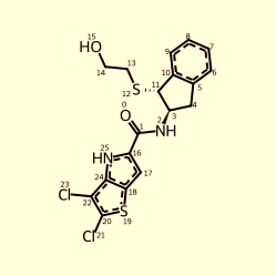 O=C(N[C@@H]1Cc2ccccc2[C@H]1SCCO)c1cc2sc(Cl)c(Cl)c2[nH]1